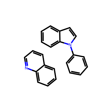 c1ccc(-n2ccc3ccccc32)cc1.c1ccc2ncccc2c1